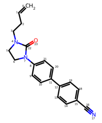 C=CCCN1CCN(c2ccc(-c3ccc(C#N)cc3)cc2)C1=O